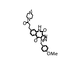 COc1ccc(Cn2nnc3c(=O)[nH]c4cc(CCC(=O)N5CCN(C)CC5)ccc4c(=O)c32)cc1